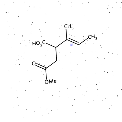 C/C=C(\C)C(CC(=O)OC)C(=O)O